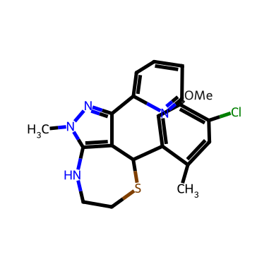 COc1cc(C2SCCNc3c2c(-c2ccccn2)nn3C)c(C)cc1Cl